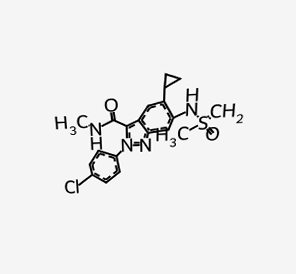 C=S(C)(=O)Nc1cc2nn(-c3ccc(Cl)cc3)c(C(=O)NC)c2cc1C1CC1